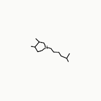 CC(C)CCCCN1CCC(C)C(C)C1